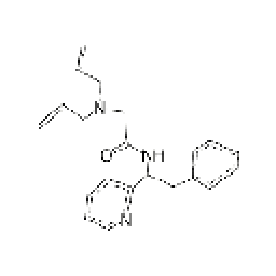 C=CCN(CC=C)CC(=O)NC(Cc1ccccc1)c1ccccn1